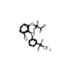 [O]c1cccc(OC(F)(F)C(F)F)c1Oc1cccc(C(F)(F)C(F)(F)F)c1